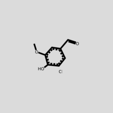 COc1cc(C=O)ccc1O.[C]